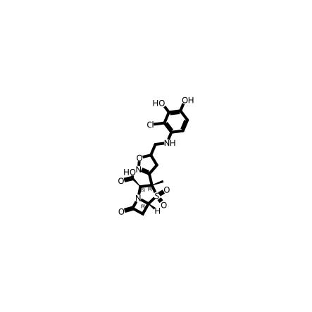 C[C@]1(C2=NOC(CNc3ccc(O)c(O)c3Cl)C2)[C@H](C(=O)O)N2C(=O)C[C@H]2S1(=O)=O